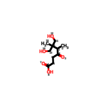 CC(C(=O)CCC(=O)O)C(C)(CO)CO